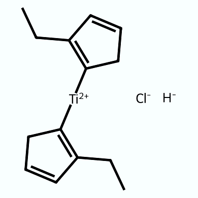 CCC1=[C]([Ti+2][C]2=C(CC)C=CC2)CC=C1.[Cl-].[H-]